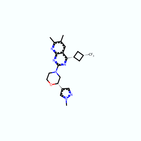 Cc1cc2c(nc(N3CCO[C@@H](c4cnn(C)c4)C3)nc2[C@H]2C[C@@H](C(F)(F)F)C2)nc1C